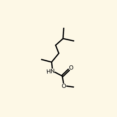 COC(=O)NC(C)CCC(C)C